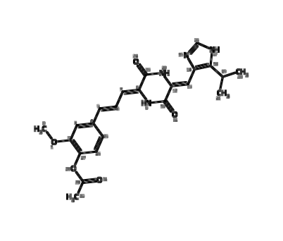 COc1cc(/C=C/C=c2\[nH]c(=O)/c(=C/c3nc[nH]c3C(C)C)[nH]c2=O)ccc1OC(C)=O